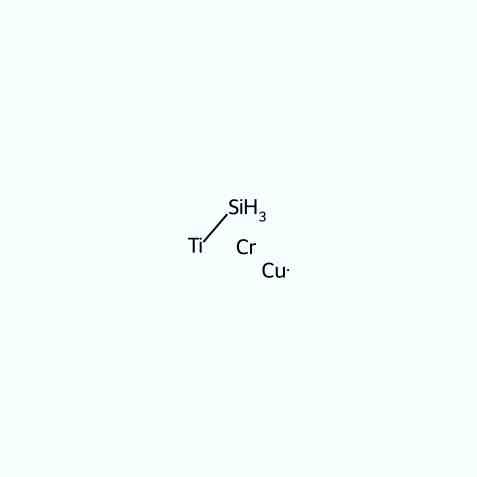 [Cr].[Cu].[SiH3][Ti]